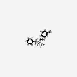 CCOC(=O)C(C)(Sc1nc2cc(Br)ccc2s1)c1ccccc1